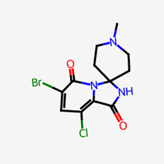 CN1CCC2(CC1)NC(=O)c1c(Cl)cc(Br)c(=O)n12